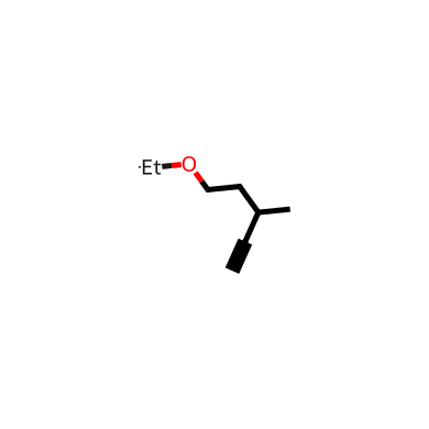 C#CC(C)CCO[CH]C